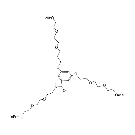 CCCOCCOCCOCCNC(=O)c1cc(OCCCOCCOCCOC)cc(OCCOCCOCCOC)c1